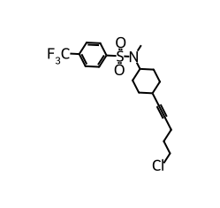 CN(C1CCC(C#CCCCCl)CC1)S(=O)(=O)c1ccc(C(F)(F)F)cc1